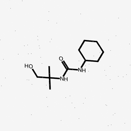 CC(C)(CO)NC(=O)NC1CCCCC1